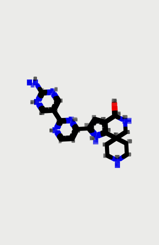 Nc1ncc(-c2nccc(-c3cc4c([nH]3)C3(CCNCC3)CNC4=O)n2)cn1